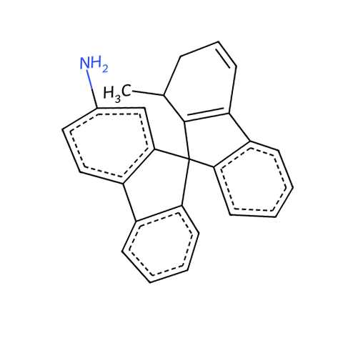 CC1CC=CC2=C1C1(c3ccccc32)c2ccccc2-c2ccc(N)cc21